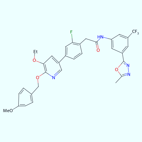 CCOc1cc(-c2ccc(CC(=O)Nc3cc(-c4nnc(C)o4)cc(C(F)(F)F)c3)c(F)c2)cnc1OCc1ccc(OC)cc1